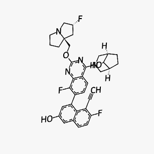 C#Cc1c(F)ccc2cc(O)cc(-c3ccc4c(N5C[C@H]6CC[C@@H](C5)C6O)nc(OC[C@@]56CCCN5C[C@H](F)C6)nc4c3F)c12